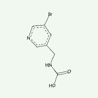 O=C(O)NCc1cncc(Br)c1